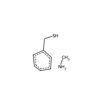 CN.SCc1ccccc1